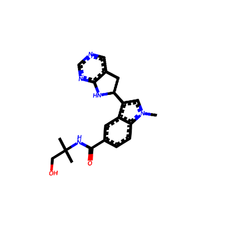 Cn1cc(C2Cc3cncnc3N2)c2cc(C(=O)NC(C)(C)CO)ccc21